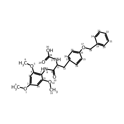 COc1cc(OC)c(NC(=O)C(Cc2ccc(OCc3ccccc3)cc2)NC(=O)O)c(OC)c1